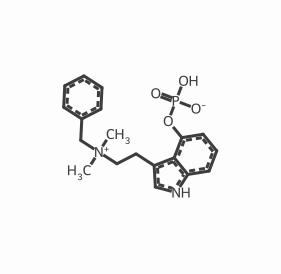 C[N+](C)(CCc1c[nH]c2cccc(OP(=O)([O-])O)c12)Cc1ccccc1